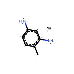 Cc1ccc(N)cc1N.[Na]